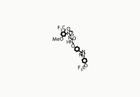 COc1ccc(CC(F)(F)F)c(N2C(=O)CS/C2=N\C(=O)NCOc2ccc(-c3ncn(-c4ccc(OC(F)(F)F)cc4)n3)cc2)c1